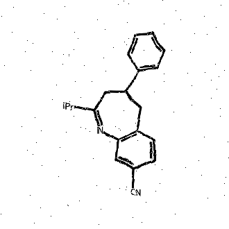 CC(C)C1=Nc2cc(C#N)ccc2CC(c2ccccc2)C1